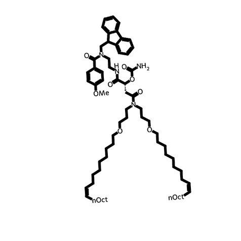 CCCCCCCC/C=C\CCCCCCCCOCCCN(CCCOCCCCCCCC/C=C\CCCCCCCC)C(=O)C[C@@H](OC(N)=O)C(=O)NCCN(CC1c2ccccc2-c2ccccc21)C(=O)c1ccc(OC)cc1